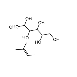 CC=C(C)C.O=CC(O)C(O)C(O)C(O)CO